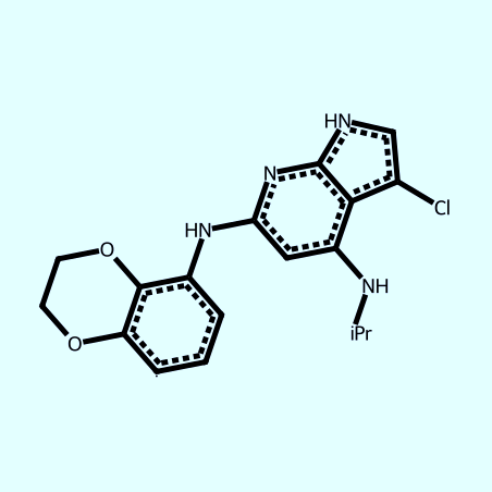 CC(C)Nc1cc(Nc2cc[c]c3c2OCCO3)nc2[nH]cc(Cl)c12